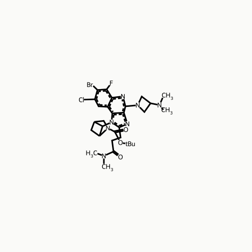 CN(C)C(=O)CCc1nc2c(N3CC(N(C)C)C3)nc3c(F)c(Br)c(Cl)cc3c2n1C1C2CC1N(C(=O)OC(C)(C)C)C2